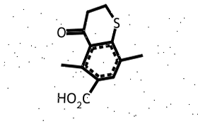 Cc1cc(C(=O)O)c(C)c2c1SCCC2=O